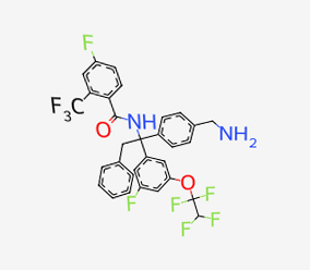 NCc1ccc(C(Cc2ccccc2)(NC(=O)c2ccc(F)cc2C(F)(F)F)c2cc(F)cc(OC(F)(F)C(F)F)c2)cc1